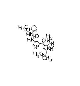 COc1ccccc1NC(=O)Nc1cncc(C(=O)c2cc(CN(C)C)n3ncnc(N)c23)c1